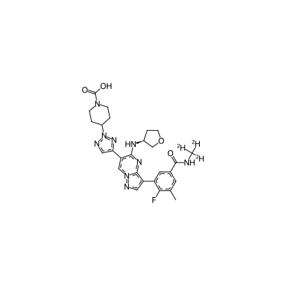 [2H]C([2H])([2H])NC(=O)c1cc(C)c(F)c(-c2cnn3cc(-c4cnn(C5CCN(C(=O)O)CC5)n4)c(N[C@H]4CCOC4)nc23)c1